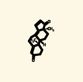 C[C@]12CC[C@H]3C(=C1C=CC2=O)CCC1=CC(=O)CC[C@@]13C